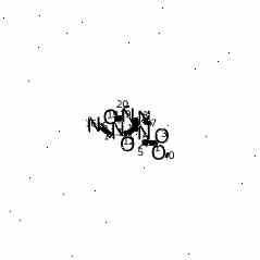 COC(=O)[C@H](C)n1cnc2c1c(=O)n(CC#N)c(=O)n2C